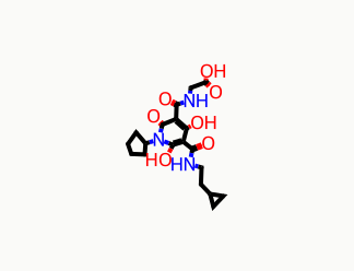 O=C(O)CNC(=O)c1c(O)c(C(=O)NCCC2CC2)c(O)n(C2CCCC2)c1=O